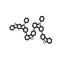 c1ccc(-n2c3ccc(-c4cccc5oc6ccc(-c7cccc8c7c7cc(-c9ccc%10oc%11ccccc%11c%10c9)ccc7n8-c7ccccc7)cc6c45)cc3c3cc4c(cc32)sc2ccccc24)cc1